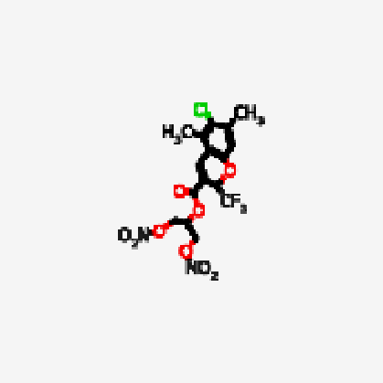 Cc1cc2c(c(C)c1Cl)C=C(C(=O)OC(CO[N+](=O)[O-])CO[N+](=O)[O-])C(C(F)(F)F)O2